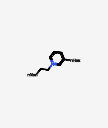 CCCCCCCCCCC[n+]1cccc(CCCCCC)c1